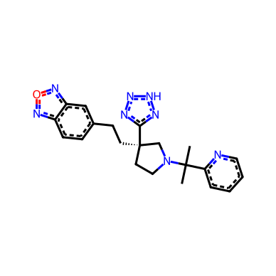 CC(C)(c1ccccn1)N1CC[C@@](CCc2ccc3nonc3c2)(c2nn[nH]n2)C1